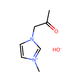 CC(=O)Cn1cc[n+](C)c1.[OH-]